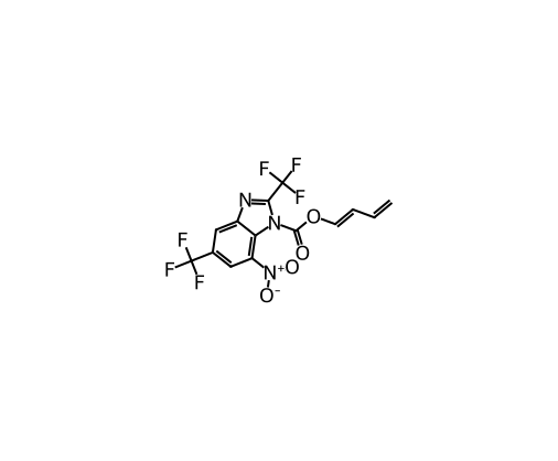 C=CC=COC(=O)n1c(C(F)(F)F)nc2cc(C(F)(F)F)cc([N+](=O)[O-])c21